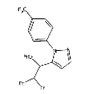 CCC(CC)C(O)c1ccnn1-c1ccc(C(F)(F)F)cc1